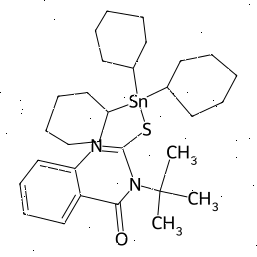 CC(C)(C)n1c([S][Sn]([CH]2CCCCC2)([CH]2CCCCC2)[CH]2CCCCC2)nc2ccccc2c1=O